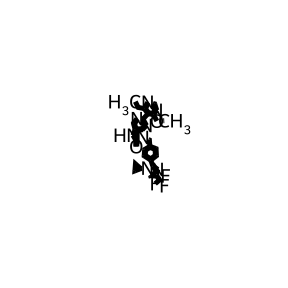 CCc1ncnc(OC)c1-c1ncc2[nH]c(=O)n(Cc3ccc(-c4nc(C(F)(F)F)cn4C4CC4)cc3)c2n1